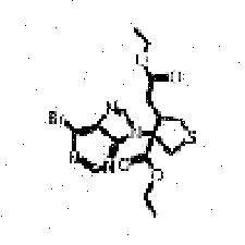 CCOC(=O)CC1CSCC1(C(=O)OCC)n1cnc2c(Br)ncnc21